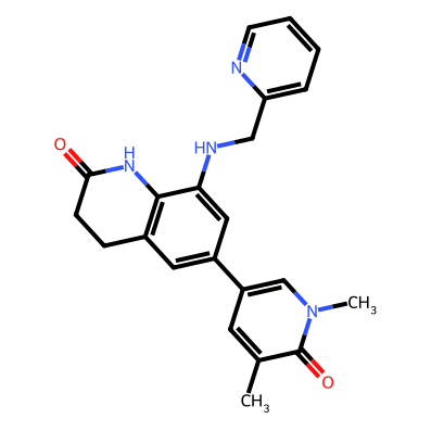 Cc1cc(-c2cc3c(c(NCc4ccccn4)c2)NC(=O)CC3)cn(C)c1=O